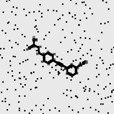 [C-]#[N+]c1cccc(C#Cc2ccc(CCC(=O)O)cc2)c1